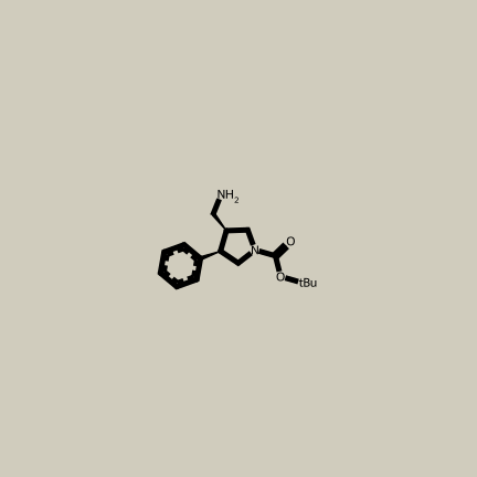 CC(C)(C)OC(=O)N1C[C@H](CN)[C@H](c2ccccc2)C1